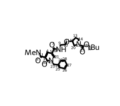 CNC(=O)c1cc(C(=O)NCCOC2CCN(C(=O)OC(C)(C)C)C2)cn(Cc2ccccc2)c1=O